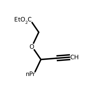 C#CC(CCC)OCC(=O)OCC